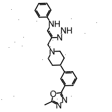 Cc1nnc(-c2cccc(C3CCN(C/C(=C/Nc4ccccc4)N=N)CC3)c2)o1